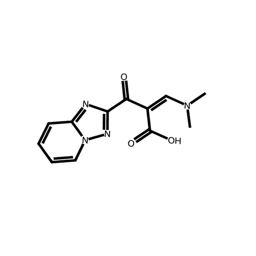 CN(C)/C=C(\C(=O)O)C(=O)c1nc2ccccn2n1